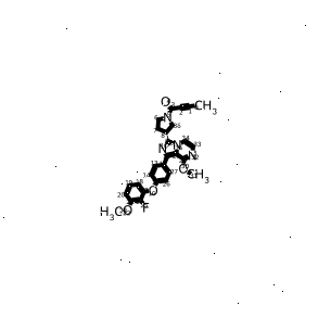 CC#CC(=O)N1CC[C@@H](c2nc(-c3ccc(Oc4cccc(OC)c4F)cc3)c3c(OC)nccn23)C1